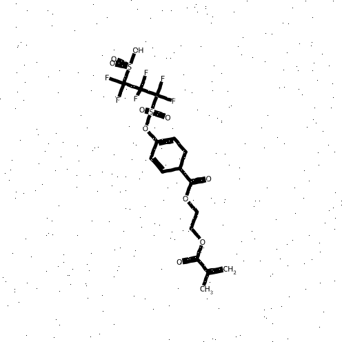 C=C(C)C(=O)OCCOC(=O)C1C=CC(OS(=O)(=O)C(F)(F)C(F)(F)C(F)(F)S(=O)(=O)O)=CC1